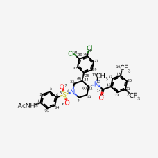 CC(=O)Nc1ccc(S(=O)(=O)N2CC[C@@H](N(C)C(=O)c3cc(C(F)(F)F)cc(C(F)(F)F)c3)[C@H](c3ccc(Cl)c(Cl)c3)C2)cc1